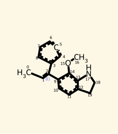 C/C=C(\c1ccccc1)c1ccc2c(c1OC)NCC2